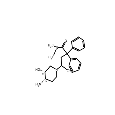 CC(CC(C(=O)N(C)C)(c1ccccc1)c1ccccc1)N1CC[C@H](N)[C@H](O)C1